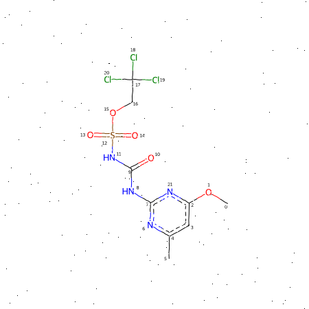 COc1cc(C)nc(NC(=O)NS(=O)(=O)OCC(Cl)(Cl)Cl)n1